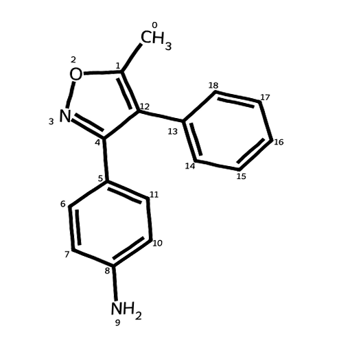 Cc1onc(-c2ccc(N)cc2)c1-c1ccccc1